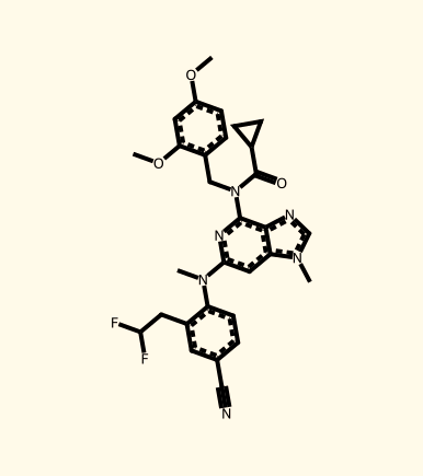 COc1ccc(CN(C(=O)C2CC2)c2nc(N(C)c3ccc(C#N)cc3CC(F)F)cc3c2ncn3C)c(OC)c1